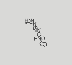 CN(c1cc(C2CC2)[nH]n1)c1ccnc(N(C)C2CCC(NC(=O)[C@H]3CCc4ccccc43)CC2)n1